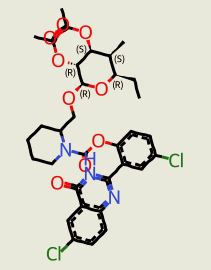 CC[C@H]1O[C@@H](OCC2CCCCN2C(=O)Oc2ccc(Cl)cc2-c2nc3ccc(Cl)cc3c(=O)[nH]2)[C@H](OC(C)=O)[C@@H](OC(C)=O)[C@H]1C